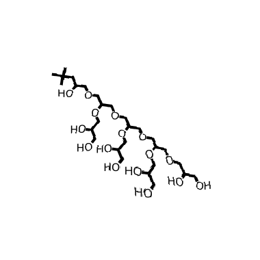 CC(C)(C)CC(O)COCC(COCC(COCC(COCC(O)CO)OCC(O)CO)OCC(O)CO)OCC(O)CO